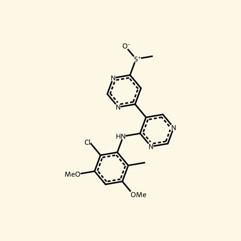 COc1cc(OC)c(Cl)c(Nc2ncncc2-c2cc([S+](C)[O-])ncn2)c1C